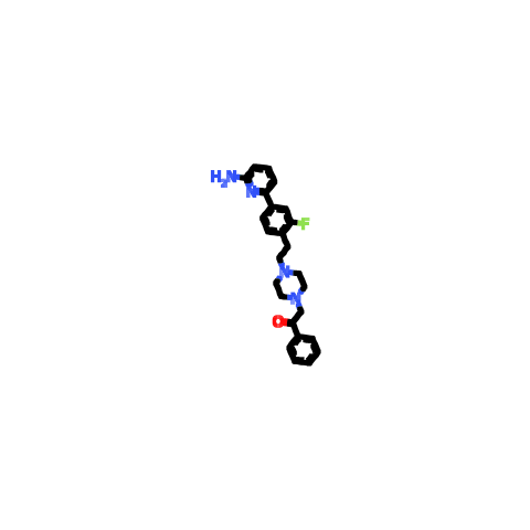 Nc1cccc(-c2ccc(CCN3CCN(CC(=O)c4ccccc4)CC3)c(F)c2)n1